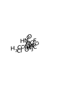 Cc1ccc(NC(=O)[C@H]2CCCN(C(O)c3c(C)cccc3F)[C@H]2c2ccc(NC3CCOC3)cc2)cc1Cl